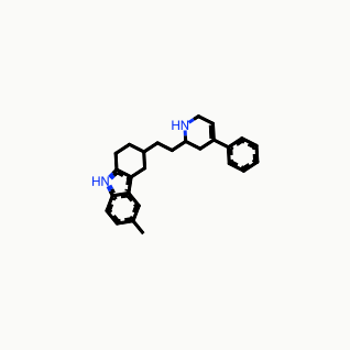 Cc1ccc2[nH]c3c(c2c1)CC(CCC1CC(c2ccccc2)=CCN1)CC3